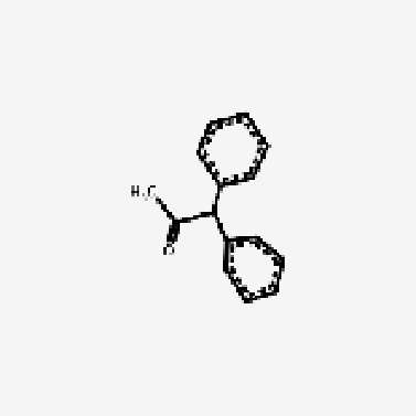 CC(=O)[C](c1ccccc1)c1ccccc1